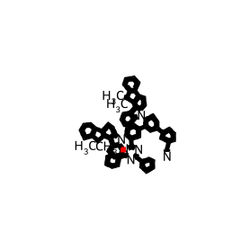 CC1(C)c2ccccc2-c2ccc3c(c21)c1ccccc1n3-c1ccc(-c2cccc(C#N)c2)cc1-c1ccc(-n2c3ccccc3c3c4c(ccc32)-c2ccccc2C4(C)C)c(-c2nc(-c3ccccc3)nc(-c3ccccc3)n2)c1